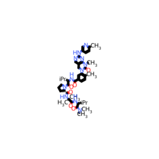 Cc1ccc(Nc2ncc3c(n2)N(C)C(=O)N(c2cc(C(=O)NC(C(=O)N4CCC[C@H]4C(=O)NC(C)(C)C(=O)NC(C(=O)N(C)C)C(C)C)C(C)C)ccc2C)C3)cn1